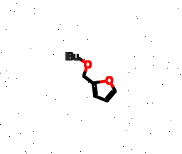 CCC(C)OCc1ccco1